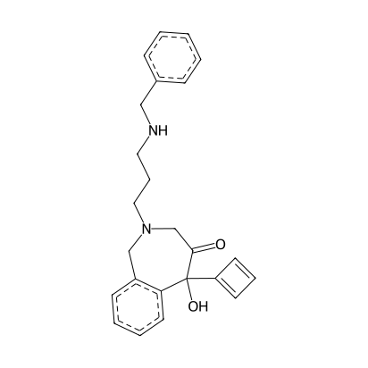 O=C1CN(CCCNCc2ccccc2)Cc2ccccc2C1(O)C1=CC=C1